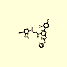 N#Cc1ccc(NCCNc2nc(-c3ccc(Cl)cc3Cl)cc3nc(Cn4cccn4)nn23)nc1N